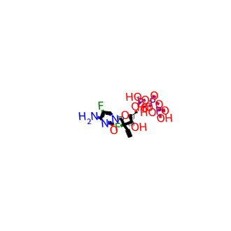 C#CC1(F)[C@@H](O)[C@@H](COP(=O)(O)OP(=O)(O)OP(=O)(O)O)O[C@H]1n1cc(F)c(N)nc1=O